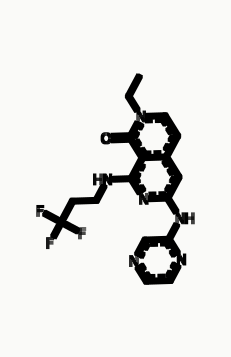 CCn1ccc2cc(Nc3cnccn3)nc(NCCC(F)(F)F)c2c1=O